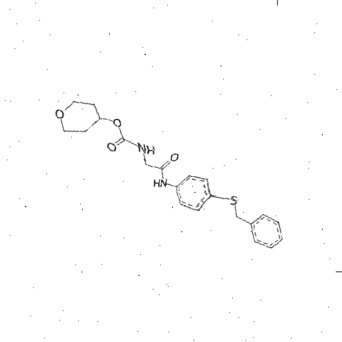 O=C(CNC(=O)OC1CCOCC1)Nc1ccc(SCc2ccccc2)cc1